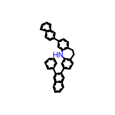 c1ccc(-c2cc3ccccc3cc2-c2ccc3c(c2)Nc2cc(-c4ccc5ccccc5c4)ccc2CC3)cc1